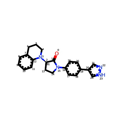 O=C1[C@H](N2CCCc3ccccc32)CCN1c1ccc(-c2cn[nH]c2)cc1